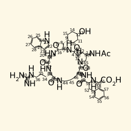 CC(=O)N[C@@H]1C[C@H]2C(=O)N[C@H](C[C@H]3CC[C@@H](O)CC3)C(=O)N[C@@H](Cc3c[nH]c4ccccc34)C(=O)N[C@@H](CCCNC(=N)N)C(=O)NCCC[C@H](NC(=O)C(Cc3ccccc3)NCC(=O)O)C(=O)N2C1